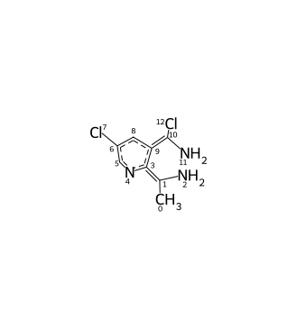 C/C(N)=c1\ncc(Cl)c\c1=C(\N)Cl